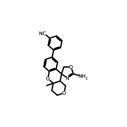 CC12CCOCC1C1(COC(N)=N1)c1cc(-c3cccc(C#N)c3)ccc1O2